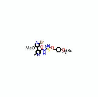 COc1cnc(Br)cc1-c1cc(C)ncc1C(=O)Nc1nnc(OCC2CCC(O[Si](C)(C)C(C)(C)C)CC2)s1